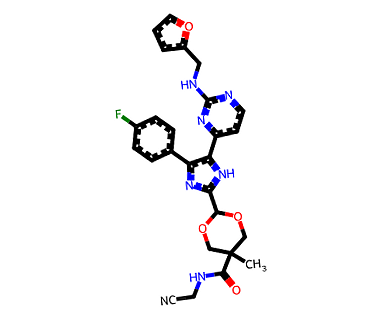 CC1(C(=O)NCC#N)COC(c2nc(-c3ccc(F)cc3)c(-c3ccnc(NCc4ccco4)n3)[nH]2)OC1